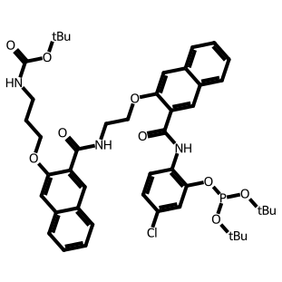 CC(C)(C)OC(=O)NCCCOc1cc2ccccc2cc1C(=O)NCCOc1cc2ccccc2cc1C(=O)Nc1ccc(Cl)cc1OP(OC(C)(C)C)OC(C)(C)C